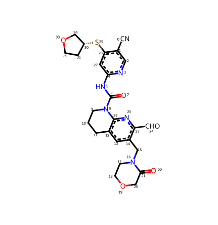 N#Cc1cnc(NC(=O)N2CCCc3cc(CN4CCOCC4=O)c(C=O)nc32)cc1S[C@@H]1CCOC1